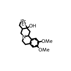 CCC1(O)CC2c3cc(OC)c(OC)cc3CCN2CC1CC(C)C